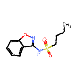 CCCCS(=O)(=O)Nc1noc2ccccc12